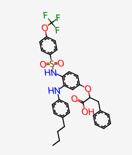 CCCCc1ccc(Nc2cc(OC(Cc3ccccc3)C(=O)O)ccc2NS(=O)(=O)c2ccc(OC(F)(F)F)cc2)cc1